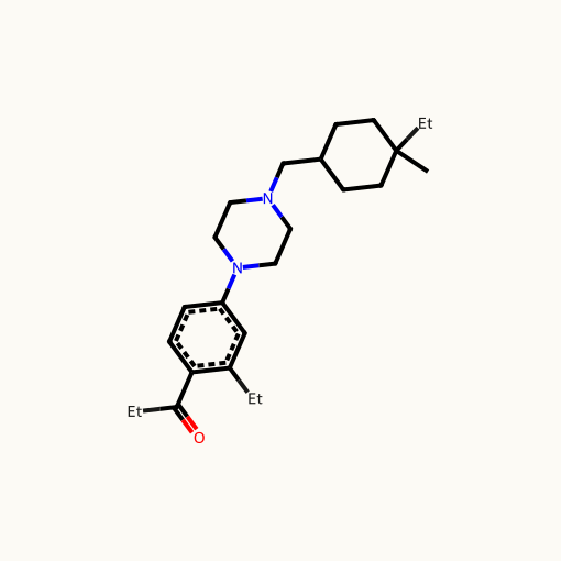 CCC(=O)c1ccc(N2CCN(CC3CCC(C)(CC)CC3)CC2)cc1CC